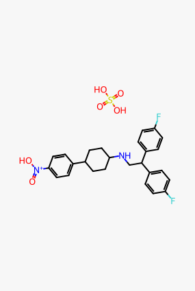 O=S(=O)(O)O.O=[N+](O)c1ccc(C2CCC(NCC(c3ccc(F)cc3)c3ccc(F)cc3)CC2)cc1